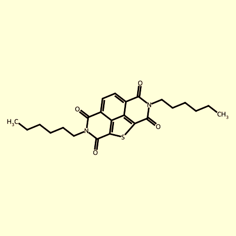 CCCCCCN1C(=O)c2ccc3c4c(sc(c24)C1=O)C(=O)N(CCCCCC)C3=O